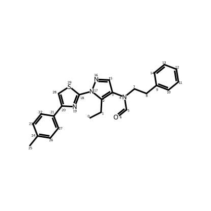 CCc1c(N(C=O)CCc2ccccc2)cnn1-c1nc(-c2ccc(C)cc2)cs1